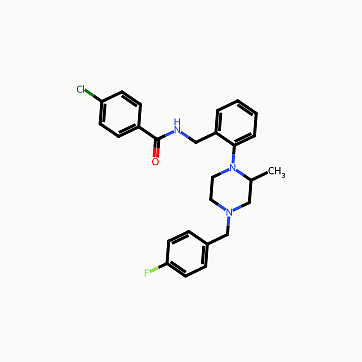 CC1CN(Cc2ccc(F)cc2)CCN1c1ccccc1CNC(=O)c1ccc(Cl)cc1